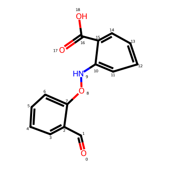 O=Cc1ccccc1ONc1ccccc1C(=O)O